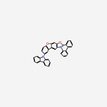 c1ccc2c(c1)B1Oc3cc4oc5ccc(-n6c7ccccc7c7ccccc76)cc5c4cc3N1c1ccccc1-2